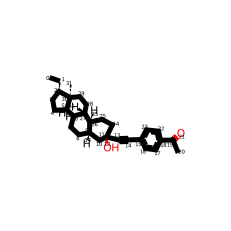 CC[C@H]1CC[C@H]2[C@@H]3CC[C@@H]4C[C@@](O)(C#Cc5ccc(C(C)=O)cc5)CC[C@@H]4[C@H]3CC[C@]12C